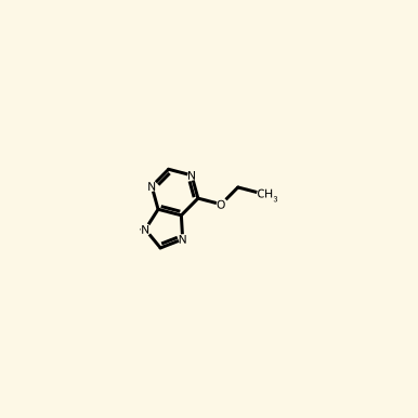 CCOc1ncnc2c1N=C[N]2